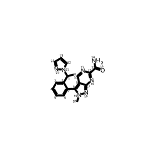 CC(c1ccccc1-c1c2cnc(C(N)=O)nc2nn1C)n1cccn1